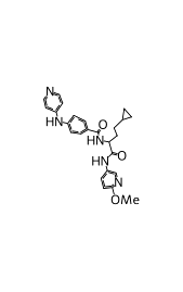 COc1ccc(NC(=O)C(CCC2CC2)NC(=O)c2ccc(Nc3ccncc3)cc2)cn1